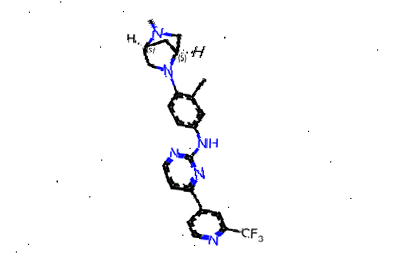 Cc1cc(Nc2nccc(-c3ccnc(C(F)(F)F)c3)n2)ccc1N1C[C@@H]2C[C@H]1CN2C